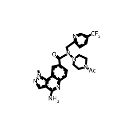 CC(=O)N1CCN(N(Cc2ccc(C(F)(F)F)cn2)C(=O)c2ccc3nc(N)c4cnn(C)c4c3c2)CC1